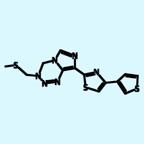 CSCN1Cn2cnc(-c3nc(-c4ccsc4)cs3)c2N=N1